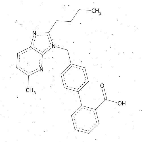 CCCCc1nc2ccc(C)nc2n1Cc1ccc(-c2ccccc2C(=O)O)cc1